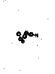 N#Cc1ccc(-n2ncc3cc(N4C(=O)CC[C@H]4c4ccccc4)ccc32)cc1